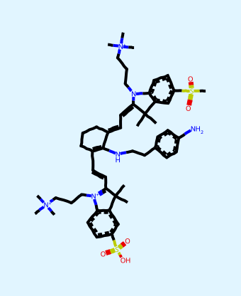 CC1(C)C(/C=C/C2=C(NCCc3ccc(N)cc3)C(=C/C=C3/N(CCC[N+](C)(C)C)c4ccc(S(C)(=O)=O)cc4C3(C)C)/CCC2)=[N+](CCC[N+](C)(C)C)c2ccc(S(=O)(=O)O)cc21